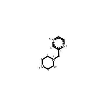 [c]1cnc(CN2CCOCC2)cn1